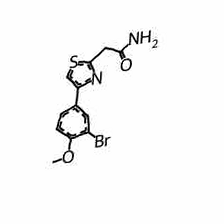 COc1ccc(-c2csc(CC(N)=O)n2)cc1Br